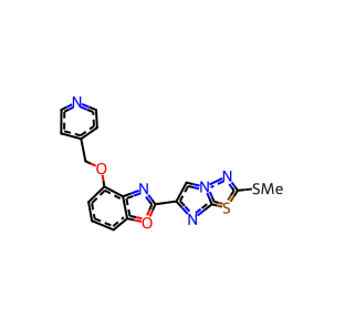 CSc1nn2cc(-c3nc4c(OCc5ccncc5)cccc4o3)nc2s1